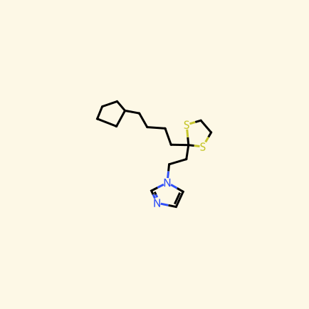 c1cn(CCC2(CCCCC3CCCC3)SCCS2)cn1